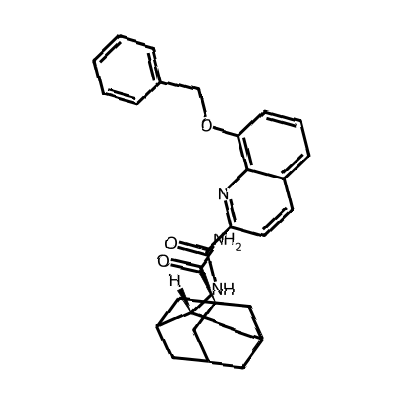 NC(=O)[C@]12CC3CC(C1)[C@@H](NC(=O)c1ccc4cccc(OCc5ccccc5)c4n1)C(C3)C2